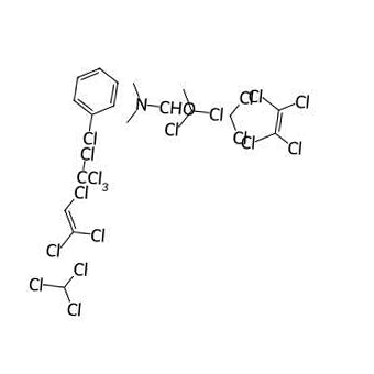 CC(Cl)Cl.CN(C)C=O.ClC(Cl)(Cl)Cl.ClC(Cl)=C(Cl)Cl.ClC(Cl)Cl.ClC=C(Cl)Cl.ClCCl.Clc1ccccc1